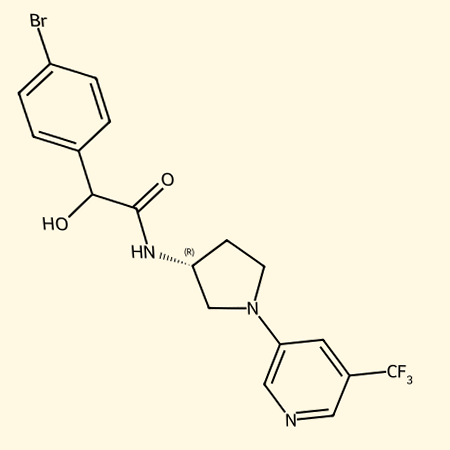 O=C(N[C@@H]1CCN(c2cncc(C(F)(F)F)c2)C1)C(O)c1ccc(Br)cc1